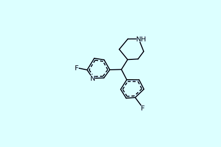 Fc1ccc(C(c2ccc(F)nc2)C2CCNCC2)cc1